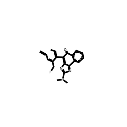 C=C/C=C(CF)\C(=C/C)C1=C2N=C(N(C)C)N=C2c2ccccc2C1=O